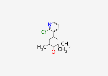 CC1CC(c2cccnc2Cl)CC(C)(C)C1=O